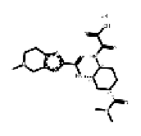 CN1CCc2nc(C(=O)N[C@H]3C[C@@H](C(=O)N(C)C)CC[C@@H]3NC(=O)C(=O)O)sc2C1.[LiH]